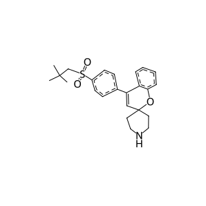 CC(C)(C)CS(=O)(=O)c1ccc(C2=CC3(CCNCC3)Oc3ccccc32)cc1